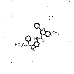 Cc1ccc2c(C(=O)Nc3ccc4ncn(C(CC(=O)O)c5ccccc5)c4c3)cc(-c3ccccc3)nc2c1